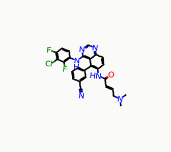 CN(C)C/C=C/C(=O)Nc1ccc2ncnc(Nc3ccc(F)c(Cl)c3F)c2c1-c1cccc(C#N)c1